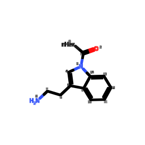 CCCCCCC(=O)n1cc(CCN)c2ccccc21